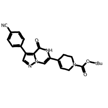 CC(C)(C)OC(=O)N1CC=C(c2cn3ncc(-c4ccc(C#N)cc4)c3c(=O)[nH]2)CC1